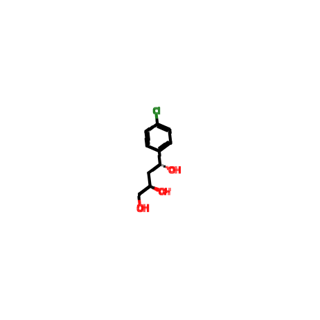 OC[C@H](O)C[C@@H](O)c1ccc(Cl)cc1